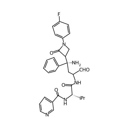 CC(C)[C@H](NC(=O)c1cccnc1)C(=O)NC(C=O)C[C@@](N)(c1ccccc1)C1CN(c2ccc(F)cc2)C1=O